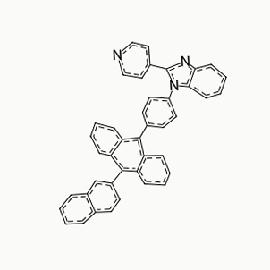 c1ccc2cc(-c3c4ccccc4c(-c4ccc(-n5c(-c6ccncc6)nc6ccccc65)cc4)c4ccccc34)ccc2c1